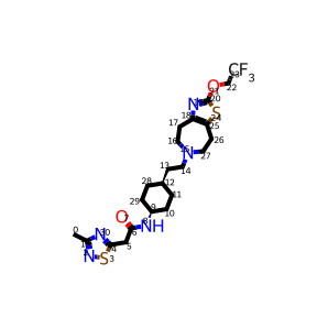 Cc1nsc(CC(=O)N[C@H]2CC[C@H](CCN3CCc4nc(OCC(F)(F)F)sc4CC3)CC2)n1